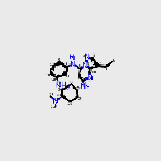 CCc1cnn2c(Nc3cccc(N)c3)cc(N[C@H]3CC[C@H](N(C)C)CC3)nc12